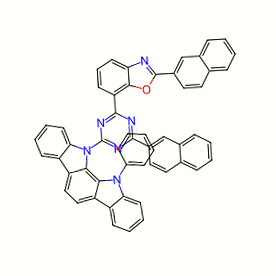 c1ccc(-n2c3ccccc3c3ccc4c5ccccc5n(-c5nc(-c6ccc7ccccc7c6)nc(-c6cccc7nc(-c8ccc9ccccc9c8)oc67)n5)c4c32)cc1